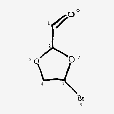 O=CC1OCC(Br)O1